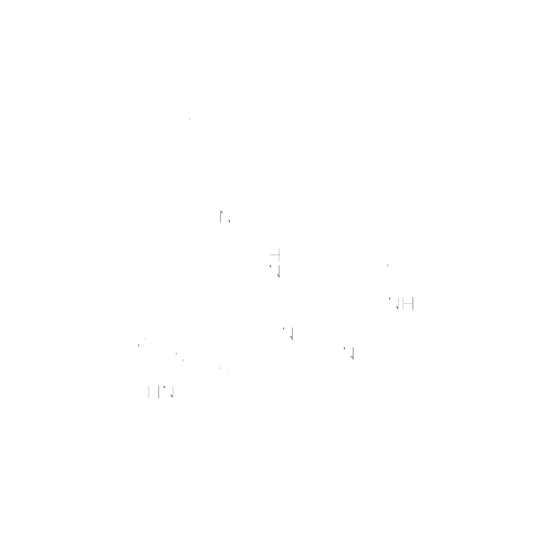 CNS(=O)(=O)c1ccc(N2CCCC(C)C2)c(Nc2ncnc3[nH]ccc23)c1